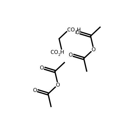 CC(=O)OC(C)=O.CC(=O)OC(C)=O.O=C(O)CC(=O)O